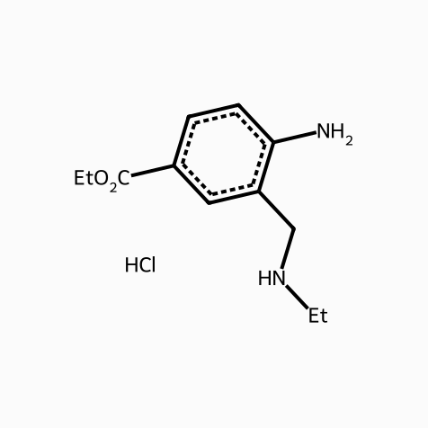 CCNCc1cc(C(=O)OCC)ccc1N.Cl